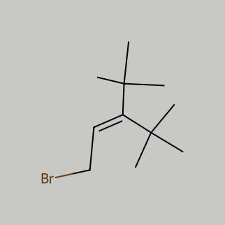 CC(C)(C)C(=CCBr)C(C)(C)C